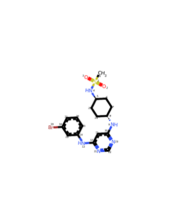 CS(=O)(=O)N[C@H]1CC[C@H](Nc2cc(Nc3cccc(Br)c3)ncn2)CC1